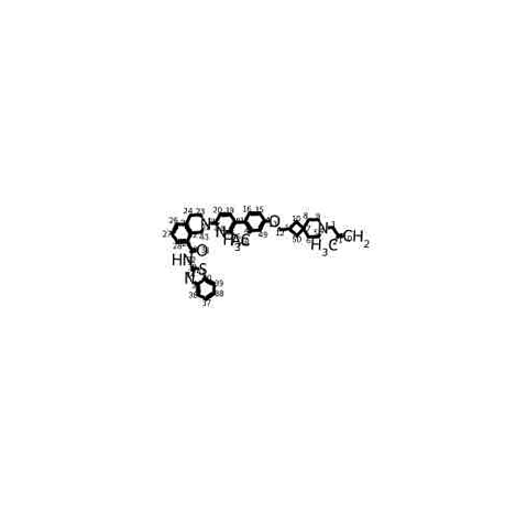 C=C(C)CN1CCC2(CC1)CC(COc1ccc(-c3ccc(N4CCc5cccc(C(=O)Nc6nc7ccccc7s6)c5C4)nc3C(C)=O)c(C)c1)C2